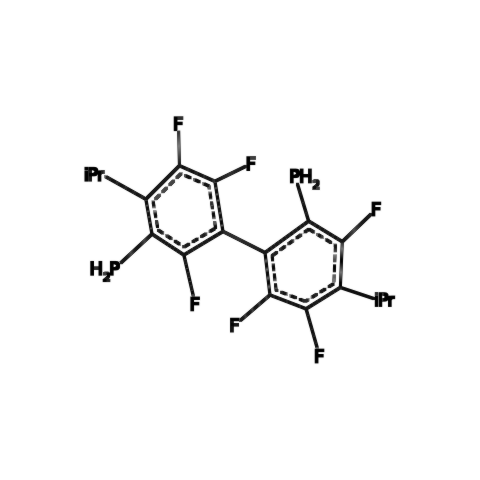 CC(C)c1c(F)c(F)c(-c2c(F)c(F)c(C(C)C)c(P)c2F)c(P)c1F